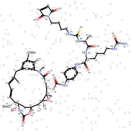 COc1cc2cc(c1Cl)N(C)C(=O)C[C@H](OC(=O)Nc1ccc(NC(=O)[C@H](CCCCNC(N)=O)NC(=O)[C@@H](NC(=S)NCCCCN3C(=O)C=CC3=O)C(C)C)cc1)[C@]1(C)O[C@H]1[C@H](C)[C@@H]1C[C@@](O)(NC(=O)O1)[C@H](OC)/C=C/C=C(\C)C2